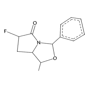 CC1OC(c2ccccc2)N2C(=O)C(F)CC12